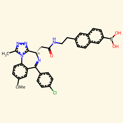 COc1ccc2c(c1)C(c1ccc(Cl)cc1)=N[C@@H](CC(=O)NCCc1ccc3cc(B(O)O)ccc3c1)c1nnc(C)n1-2